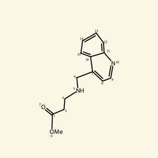 COC(=O)CCNCc1ccnc2ccccc12